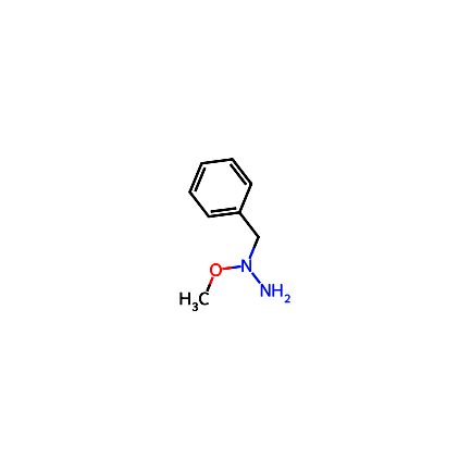 CON(N)Cc1ccccc1